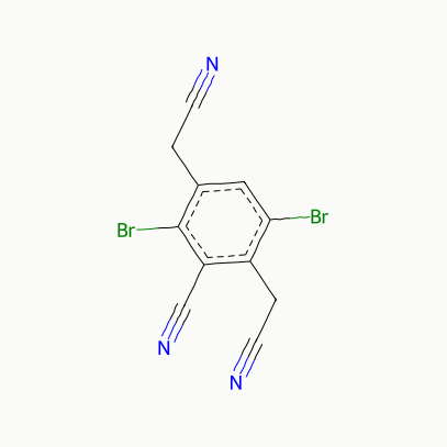 N#CCc1cc(Br)c(CC#N)c(C#N)c1Br